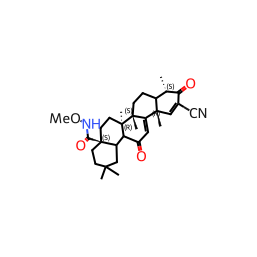 CONC(=O)[C@]12CCC(C)(C)CC1C1C(=O)C=C3[C@@]4(C)C=C(C#N)C(=O)[C@@H](C)C4CC[C@@]3(C)[C@]1(C)CC2